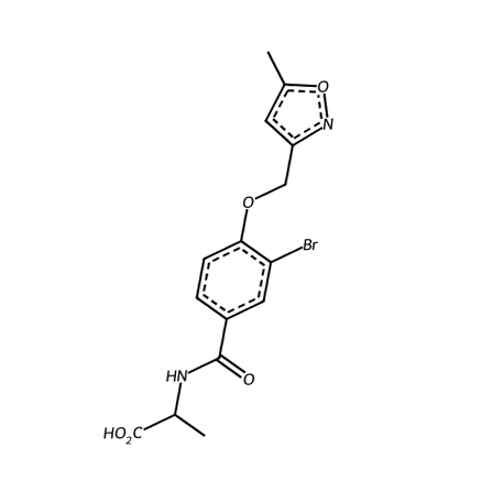 Cc1cc(COc2ccc(C(=O)NC(C)C(=O)O)cc2Br)no1